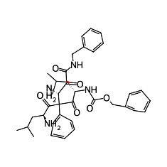 CC(C)C[C@H](NC(=O)OCc1ccccc1)C(=O)C(C(=O)[C@@H](N)CC(C)C)(c1ccccc1)[C@H](N)C(=O)C(=O)NCc1ccccc1